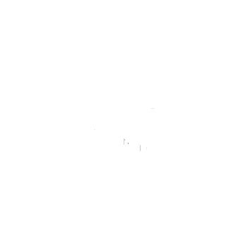 CCN1CCC(=O)CC1.Fc1ccccc1